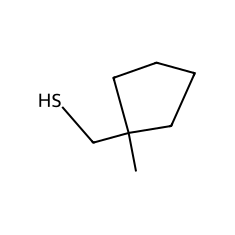 CC1(CS)CCCC1